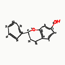 Oc1ccc2c(c1)OC(c1ccccc1)CC2